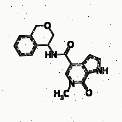 Cn1cc(C(=O)NC2COCc3ccccc32)c2cc[nH]c2c1=O